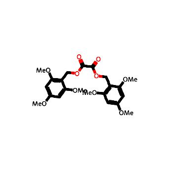 COc1cc(OC)c(COC(=O)C(=O)OCc2c(OC)cc(OC)cc2OC)c(OC)c1